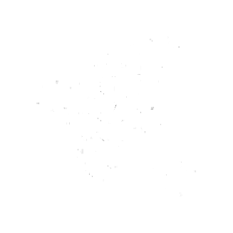 CC(C)(COCc1ccccc1)C[C@@H]([C@@H](O)c1nccn1COCc1ccccc1)N(C(=O)[C@H](Cc1ccccc1)NC(=O)OC(C)(C)C)[C@@H](Cc1c[nH]cn1)C(N)=O